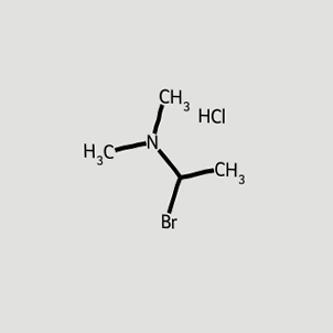 CC(Br)N(C)C.Cl